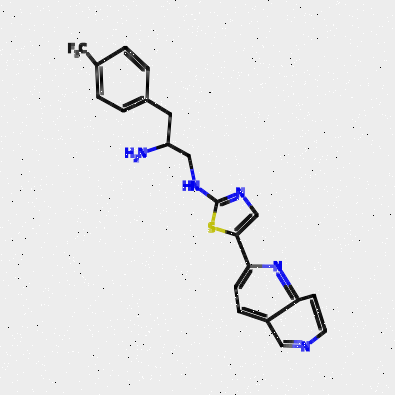 NC(CNc1ncc(-c2ccc3cnccc3n2)s1)Cc1ccc(C(F)(F)F)cc1